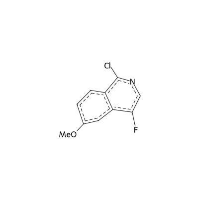 COc1ccc2c(Cl)ncc(F)c2c1